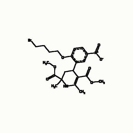 COC(=O)C1=C(C)NC(C)(C(=O)OC)CC1c1cc([N+](=O)[O-])ccc1OCCCCBr